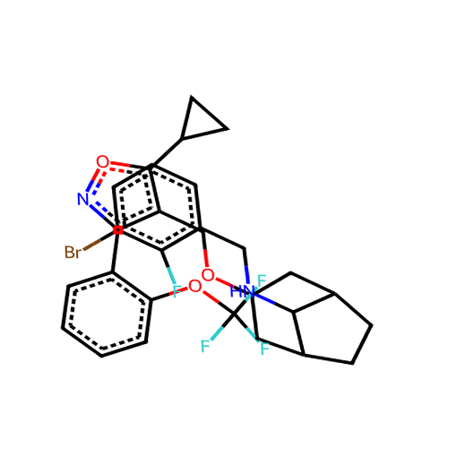 Fc1c(Br)cccc1CNC1C2CCC1CC(OCc1c(-c3ccccc3OC(F)(F)F)noc1C1CC1)C2